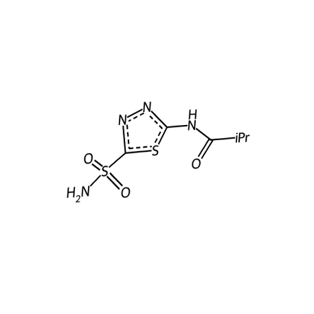 CC(C)C(=O)Nc1nnc(S(N)(=O)=O)s1